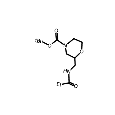 CCC(=O)NCC1CN(C(=O)OC(C)(C)C)CCO1